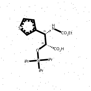 CCOC(=O)N[C@@H](c1ccsc1)[C@@H](O[Si](C(C)C)(C(C)C)C(C)C)C(=O)O